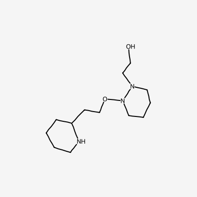 OCCN1CCCCN1OCCC1CCCCN1